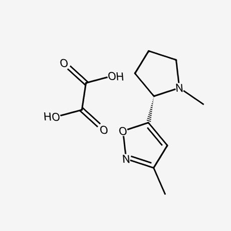 Cc1cc([C@@H]2CCCN2C)on1.O=C(O)C(=O)O